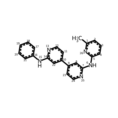 Cc1cccc(Nc2cc(-c3ccnc(Nc4ccccc4)c3)ccn2)n1